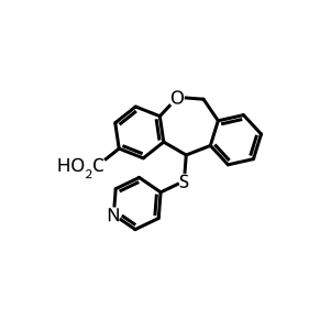 O=C(O)c1ccc2c(c1)C(Sc1ccncc1)c1ccccc1CO2